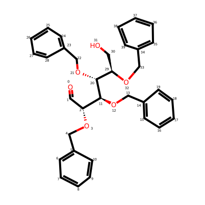 O=C[C@@H](OCc1ccccc1)[C@H](OCc1ccccc1)[C@H](OCc1ccccc1)[C@@H](CO)OCc1ccccc1